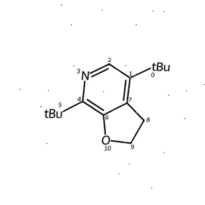 CC(C)(C)c1cnc(C(C)(C)C)c2c1CCO2